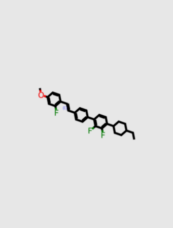 CCC1CCC(c2ccc(-c3ccc(/C=C/c4ccc(OC)cc4F)cc3)c(F)c2F)CC1